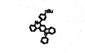 CCCCc1ccc(-c2nc3ccccc3c3cc4c(cc23)c2ccccc2n4-c2ccccc2)cc1